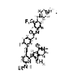 CCNc1ncc(C#Cc2cc(CC(=O)Nc3ccc(CN4CCN(C)CC4)c(C(F)(F)F)c3)ccc2F)c(-c2cc3c(n2C)CCNC3=O)n1